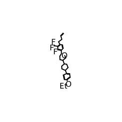 C=CCCc1ccc(C2CCC(C3CCC(c4ccc(OCC)cc4)CC3)CO2)c(F)c1C(F)F